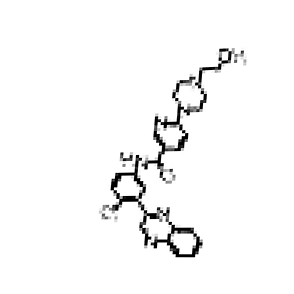 O=C(Nc1ccc(Cl)c(-c2cnc3ccccc3n2)c1)c1ccc(N2CCN(CCO)CC2)nc1